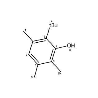 [CH2]c1cc(C)c(C(C)(C)C)c(O)c1C